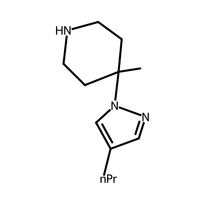 CCCc1cnn(C2(C)CCNCC2)c1